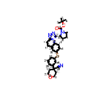 CC(C)(C)OC(=O)N1CCC[C@@H]1c1nnc2ccc3cc(Sc4cccc(C5(C#N)CCOCC5)c4)ccc3n12